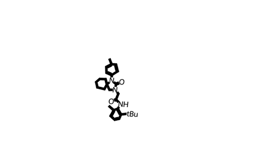 Cc1ccc(N2C(=O)N(CC(=O)Nc3c(C)cccc3C(C)(C)C)CC23CCCCC3)cc1